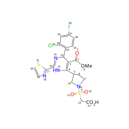 COC(=O)C1=C(C2CCN(S(=O)(=O)CC(=O)O)C2)NC(c2nccs2)=NC1c1ccc(F)cc1Cl